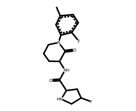 Cc1ccc(F)c(N2CCCC(NC(=O)C3CC(F)CN3)C2=O)c1